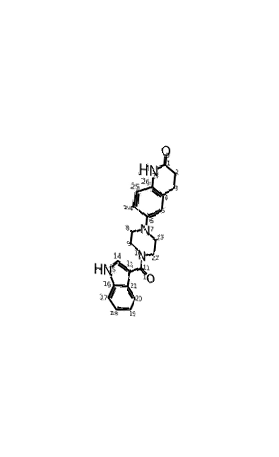 O=C1CCc2cc(N3CCN(C(=O)c4c[nH]c5ccccc45)CC3)ccc2N1